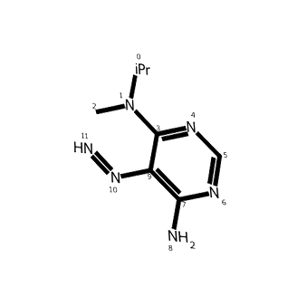 CC(C)N(C)c1ncnc(N)c1N=N